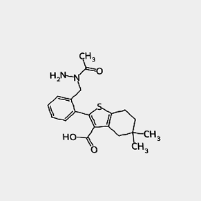 CC(=O)N(N)Cc1ccccc1-c1sc2c(c1C(=O)O)CC(C)(C)CC2